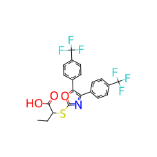 CCC(Sc1nc(-c2ccc(C(F)(F)F)cc2)c(-c2ccc(C(F)(F)F)cc2)o1)C(=O)O